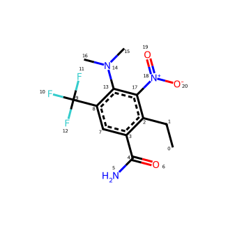 CCc1c(C(N)=O)cc(C(F)(F)F)c(N(C)C)c1[N+](=O)[O-]